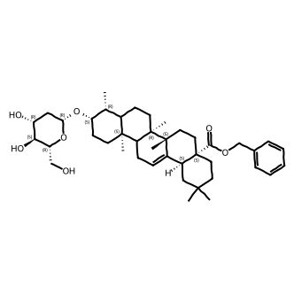 C[C@@H]1C2CC[C@]3(C)C(CC=C4[C@@H]5CC(C)(C)CC[C@]5(C(=O)OCc5ccccc5)CC[C@]43C)[C@@]2(C)CC[C@@H]1O[C@H]1C[C@@H](O)[C@H](O)[C@@H](CO)O1